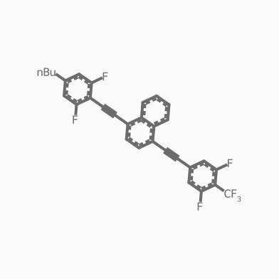 CCCCc1cc(F)c(C#Cc2ccc(C#Cc3cc(F)c(C(F)(F)F)c(F)c3)c3ccccc23)c(F)c1